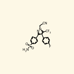 N#CCn1nc(-c2ccc(S(N)(=O)=O)cc2)c(-c2ccc(F)cc2)c1C(F)(F)F